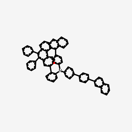 c1ccc(-c2c(-c3ccccc3)c3cc(-c4ccccc4N(c4ccc(-c5ccc(-c6ccc7ccccc7c6)cc5)cc4)c4ccc(-c5cccc6ccccc56)cc4)ccc3c3ccccc23)cc1